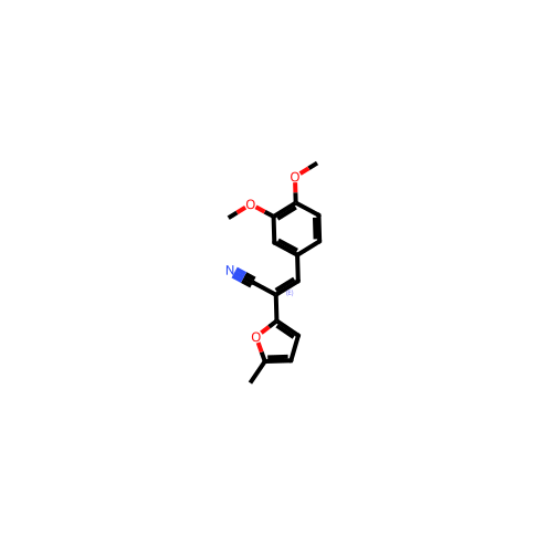 COc1ccc(/C=C(\C#N)c2ccc(C)o2)cc1OC